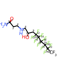 NC(=O)CCNCC(O)CC(F)(F)C(F)(F)C(F)(F)C(F)(F)C(F)(F)C(F)(F)F